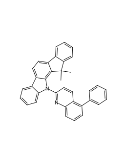 CC1(C)c2ccccc2-c2ccc3c4ccccc4n(-c4ccc5c(-c6ccccc6)cccc5n4)c3c21